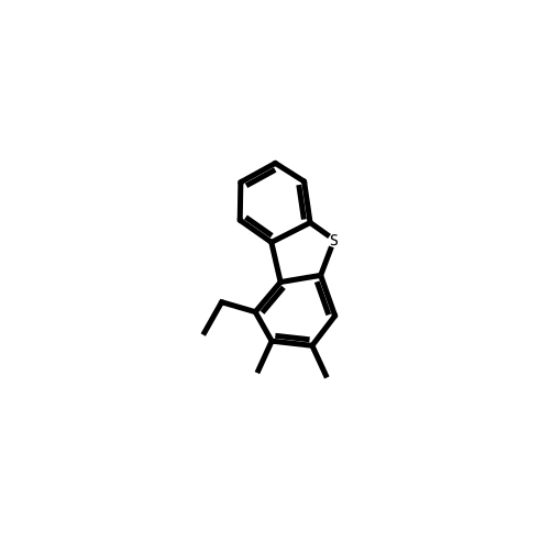 CCc1c(C)c(C)cc2sc3ccccc3c12